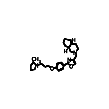 CC1CCCN1CCCOc1ccc(-c2nc(CN3CC[C@H]4CCCC[C@@H]4C3)co2)cc1